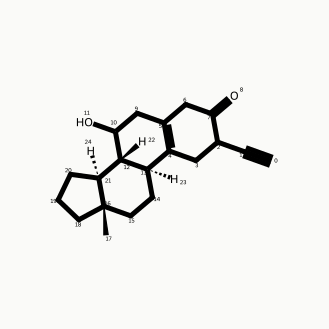 C#CC1CC2=C(CC1=O)CC(O)[C@@H]1[C@@H]2CC[C@]2(C)CCC[C@@H]12